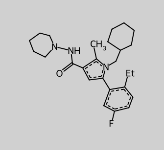 CCc1ccc(F)cc1-c1cc(C(=O)NN2CCCCC2)c(C)n1CC1CCCCC1